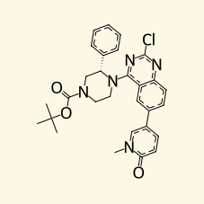 Cn1cc(-c2ccc3nc(Cl)nc(N4CCN(C(=O)OC(C)(C)C)C[C@@H]4c4ccccc4)c3c2)ccc1=O